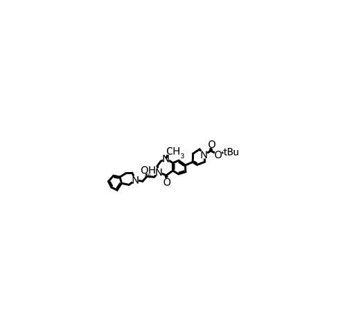 CN1CCN(C[C@H](O)CN2CCc3ccccc3C2)C(=O)c2ccc(C3=CCN(C(=O)OC(C)(C)C)CC3)cc21